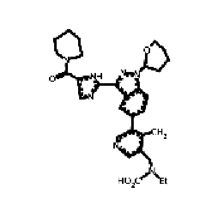 CCN(Cc1cncc(-c2ccc3c(c2)c(-c2ncc(C(=O)N4CCCCC4)[nH]2)nn3C2CCCCO2)c1C)C(=O)O